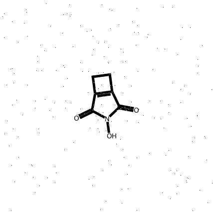 O=C1C2=C(CC2)C(=O)N1O